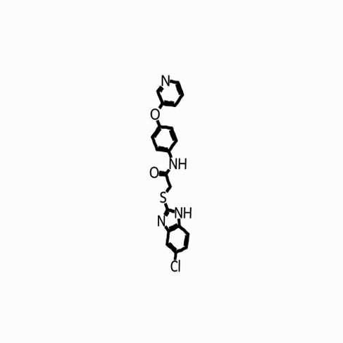 O=C(CSc1nc2cc(Cl)ccc2[nH]1)Nc1ccc(Oc2cccnc2)cc1